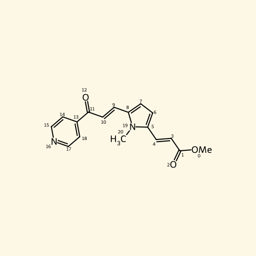 COC(=O)/C=C/c1ccc(/C=C/C(=O)c2ccncc2)n1C